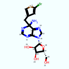 NC1(Cc2csc(Br)c2)N=CN=C2C1=NCN2[C@@H]1O[C@H](CO)[C@@H](O)[C@H]1O